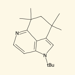 CC1(C)CC(C)(C)c2nccc3c2c1cn3C(C)(C)C